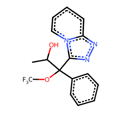 CC(O)C(OC(F)(F)F)(c1ccccc1)c1nnc2ccccn12